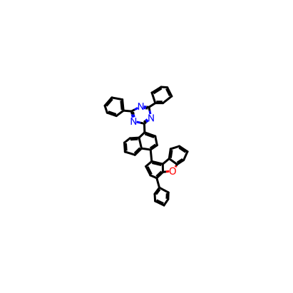 c1ccc(-c2nc(-c3ccccc3)nc(-c3ccc(-c4ccc(-c5ccccc5)c5oc6ccccc6c45)c4ccccc34)n2)cc1